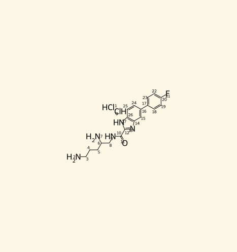 Cl.Cl.NCCCC(N)CNC(=O)c1nc2cc(-c3ccc(F)cc3)ccc2[nH]1